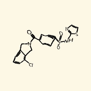 O=C(c1ccc(S(=O)(=O)Nc2nccs2)cc1)N1Cc2cccc(Cl)c2C1